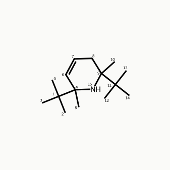 CC(C)(C)C1(C)C=CCC(C)(C(C)(C)C)N1